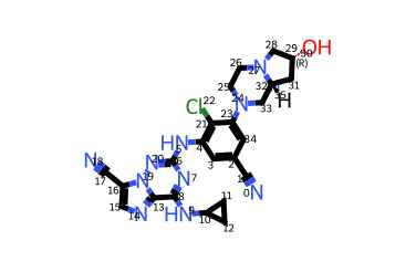 N#Cc1cc(Nc2nc(NC3CC3)c3ncc(C#N)n3n2)c(Cl)c(N2CCN3C[C@H](O)C[C@@H]3C2)c1